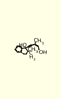 CC(C#C[C@@]1(O)c2ccccc2CCC1(C)C)=CCO